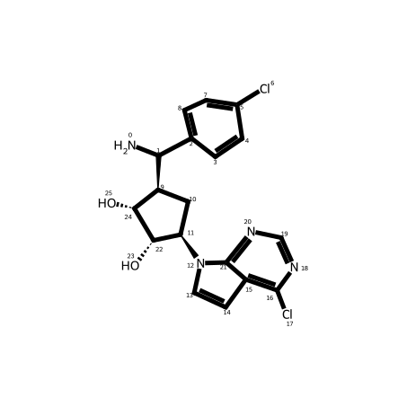 NC(c1ccc(Cl)cc1)[C@H]1C[C@@H](n2ccc3c(Cl)ncnc32)[C@H](O)[C@@H]1O